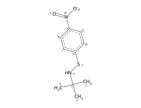 CC(C)(C)NSc1ccc([N+](=O)[O-])cc1